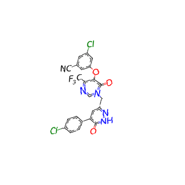 N#Cc1cc(Cl)cc(Oc2c(C(F)(F)F)ncn(Cc3cc(-c4ccc(Cl)cc4)c(=O)[nH]n3)c2=O)c1